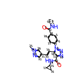 CCNC(=O)c1ccc(-n2nnc(C(=O)NC3CC3)c2C=Cc2cnn(C)c2)cc1